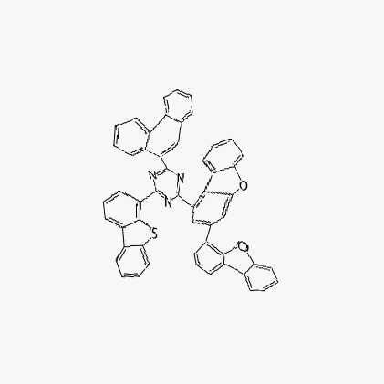 c1ccc2c(c1)cc(-c1nc(-c3cccc4c3sc3ccccc34)nc(-c3cc(-c4cccc5c4oc4ccccc45)cc4oc5ccccc5c34)n1)c1ccccc12